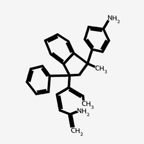 C=C(N)/C=C\C(=C/C)C1(c2ccccc2)CC(C)(c2ccc(N)cc2)c2ccccc21